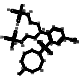 CN1CCCC(S(=O)(=O)c2cc([N+](=O)[O-])ccc2N(CCOS(C)(=O)=O)CCOS(C)(=O)=O)CCC1